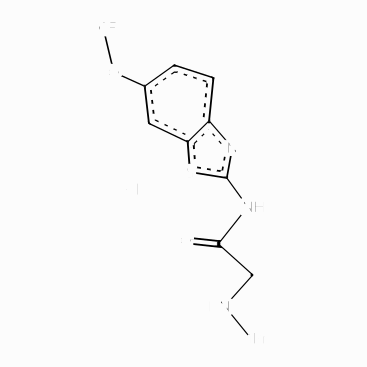 CC(C)NCC(=O)Nc1nc2ccc(OC(F)(F)F)cc2s1.Cl